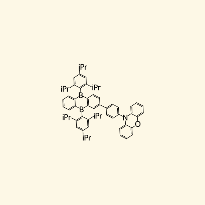 CC(C)c1cc(C(C)C)c(B2c3ccccc3B(c3c(C(C)C)cc(C(C)C)cc3C(C)C)c3cc(-c4ccc(N5c6ccccc6Oc6ccccc65)cc4)ccc32)c(C(C)C)c1